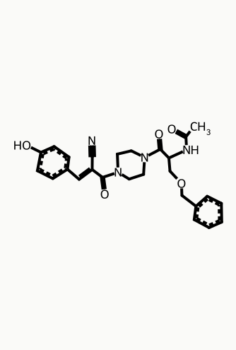 CC(=O)NC(COCc1ccccc1)C(=O)N1CCN(C(=O)C(C#N)=Cc2ccc(O)cc2)CC1